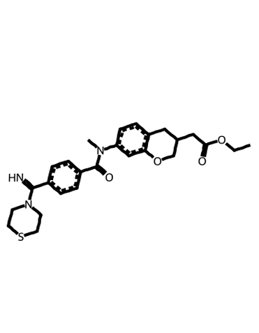 CCOC(=O)CC1COc2cc(N(C)C(=O)c3ccc(C(=N)N4CCSCC4)cc3)ccc2C1